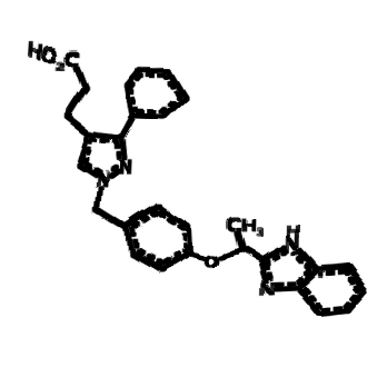 CC(Oc1ccc(Cn2cc(CCC(=O)O)c(-c3ccccc3)n2)cc1)c1nc2ccccc2[nH]1